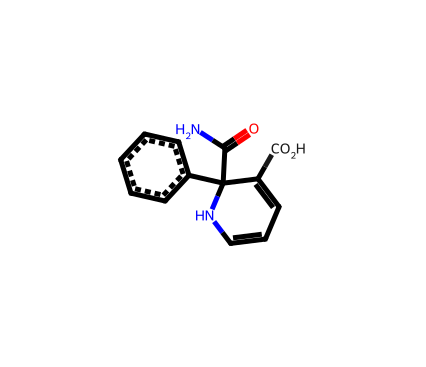 NC(=O)C1(c2ccccc2)NC=CC=C1C(=O)O